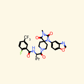 CC(C)[C@@H](NC(=O)c1cc(C(F)(F)F)ccc1F)C(=O)N1CCC2(CC1)C(=O)N(C)C(=O)N2c1ccc2ocnc2c1